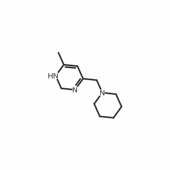 CC1=CC(CN2CCCCC2)=NCN1